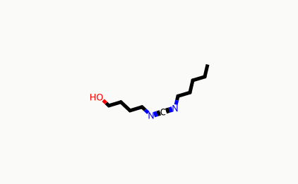 CCCCCN=C=NCCCCO